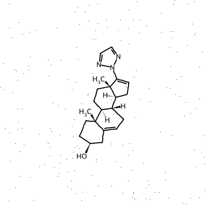 C[C@]12CC[C@H](O)CC1=CC[C@@H]1[C@@H]2CC[C@]2(C)C(n3nccn3)=CC[C@@H]12